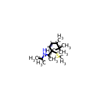 CSCC(/C=C\C(C)C(C)(C)C)C(C)NC(C)C